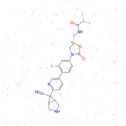 N#CC1(c2ccc(-c3ccc(N4C[C@H](CNC(=O)C(F)F)OC4=O)cc3F)cn2)C2CNCC21